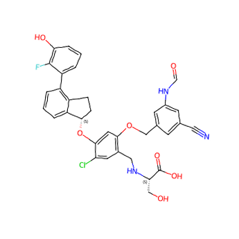 N#Cc1cc(COc2cc(O[C@H]3CCc4c(-c5cccc(O)c5F)cccc43)c(Cl)cc2CN[C@@H](CO)C(=O)O)cc(NC=O)c1